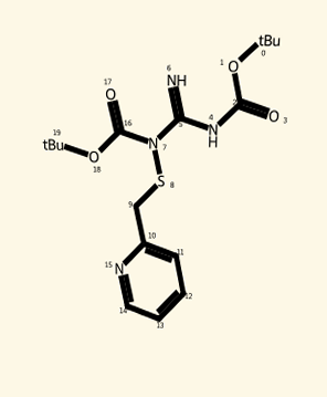 CC(C)(C)OC(=O)NC(=N)N(SCc1ccccn1)C(=O)OC(C)(C)C